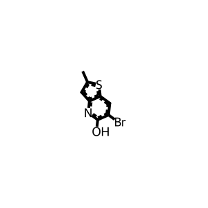 Cc1cc2nc(O)c(Br)cc2s1